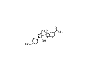 Cn1nc(-c2ccc(CO)cc2)c(O)c1-c1nc2ccc(C(N)=O)cc2[nH]1